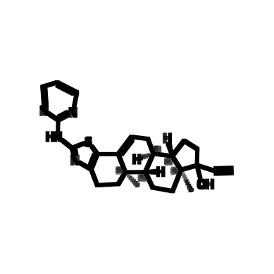 C#CC1(O)CC[C@H]2[C@@H]3CC=C4c5sc(Nc6ncccn6)nc5CC[C@]4(C)[C@H]3CC[C@@]21C